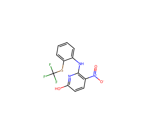 O=[N+]([O-])c1ccc(O)nc1Nc1ccccc1SC(F)(F)F